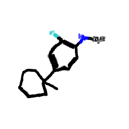 CCOC(=O)Nc1ccc(C2(C)CCCCC2)cc1F